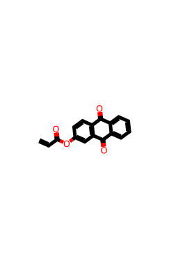 C=CC(=O)Oc1ccc2c(c1)C(=O)c1ccccc1C2=O